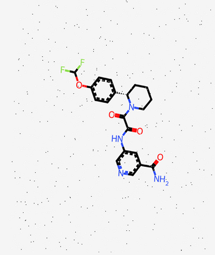 NC(=O)c1cncc(NC(=O)C(=O)N2CCCC[C@H]2c2ccc(OC(F)F)cc2)c1